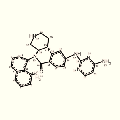 Cc1cccc2ccnc(N(C(=O)c3ccc(Nc4nccc(N)n4)cc3F)[C@@H]3CCCNC3)c12